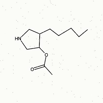 CCCCCC1CNCC1OC(C)=O